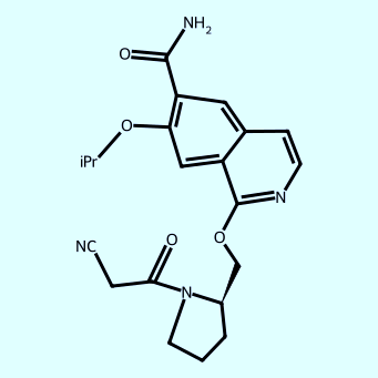 CC(C)Oc1cc2c(OC[C@H]3CCCN3C(=O)CC#N)nccc2cc1C(N)=O